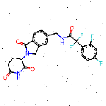 O=C1CCC(N2Cc3cc(CNC(=O)C(F)(F)c4ccc(F)cc4F)ccc3C2=O)C(=O)N1